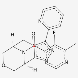 Cc1nccc(C(=O)N2[C@H]3COC[C@@H]2c2nnc(-c4ccccn4)n2C3)c1F